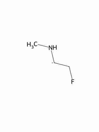 CN[CH]CF